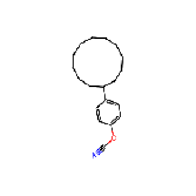 N#COc1ccc(C2CCCCCCCCCCC2)cc1